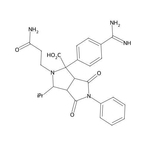 CC(C)C1C2C(=O)N(c3ccccc3)C(=O)C2C(C(=O)O)(c2ccc(C(=N)N)cc2)N1CCC(N)=O